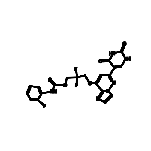 O=C(Nc1ccccc1F)OCC(F)(F)COc1cc(-c2c[nH]c(=O)[nH]c2=O)nn2ccnc12